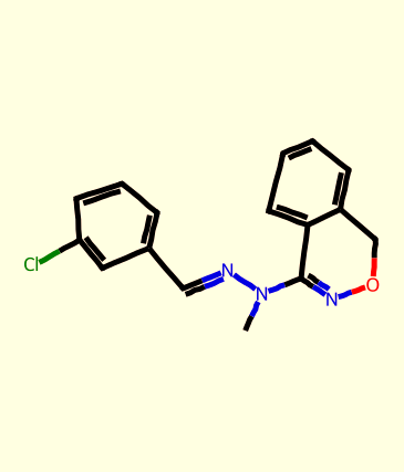 CN(N=Cc1cccc(Cl)c1)C1=NOCc2ccccc21